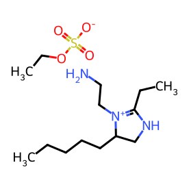 CCCCCC1CNC(CC)=[N+]1CCN.CCOS(=O)(=O)[O-]